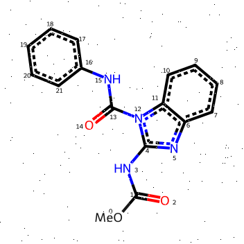 COC(=O)Nc1nc2ccccc2n1C(=O)Nc1ccccc1